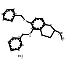 CCCNC1CCc2c(ccc(OCc3ccccc3)c2OCc2ccccc2)C1.Cl